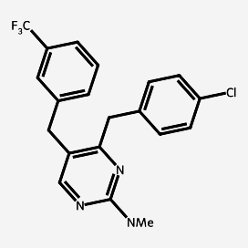 CNc1ncc(Cc2cccc(C(F)(F)F)c2)c(Cc2ccc(Cl)cc2)n1